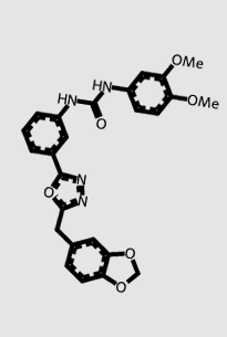 COc1ccc(NC(=O)Nc2cccc(-c3nnc(Cc4ccc5c(c4)OCO5)o3)c2)cc1OC